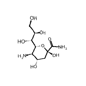 NC(=O)[C@]1(O)C[C@H](O)[C@@H](N)[C@H]([C@H](O)[C@H](O)CO)O1